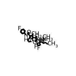 CCC/C=C(\NNC)C1(NC(=O)C(=O)c2c(C)c(C(=O)Nc3ccc(F)cc3)c3n2CCC3)CC(F)(F)C1